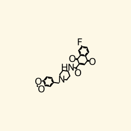 O=C(NC1CCN(Cc2ccc3c(c2)OCO3)CC1)C1=CC(=O)c2ccc(F)cc2C1=O